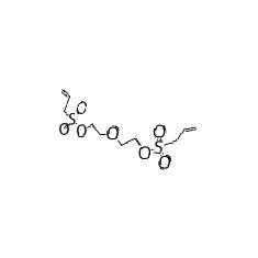 C=CCS(=O)(=O)OCCOCCOS(=O)(=O)CC=C